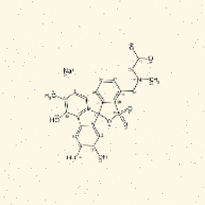 Cc1ccc(C2(c3ccc(C)c(O)c3)OS(=O)(=O)c3c(CN(C)CC(=O)[O-])cccc32)cc1O.[Na+]